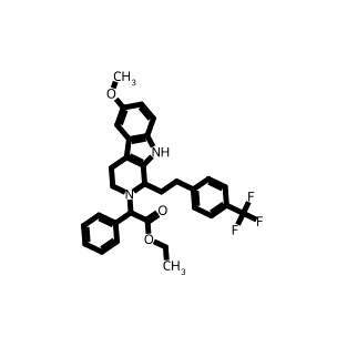 CCOC(=O)C(c1ccccc1)N1CCc2c([nH]c3ccc(OC)cc23)C1CCc1ccc(C(F)(F)F)cc1